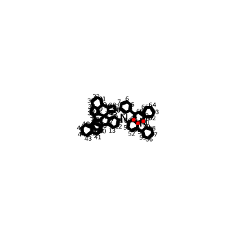 c1ccc(-c2ccccc2N(c2ccc3c(c2)C2(c4ccccc4-3)c3ccccc3-c3cccc4ccc(-c5cccc6ccccc56)c2c34)c2ccc3c4ccccc4n(-c4ccccc4)c3c2)cc1